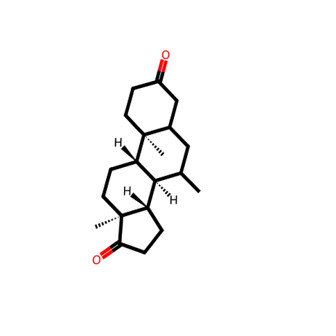 CC1CC2CC(=O)CC[C@]2(C)[C@H]2CC[C@]3(C)C(=O)CC[C@H]3[C@H]12